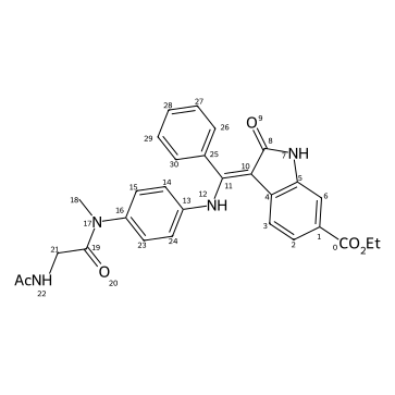 CCOC(=O)c1ccc2c(c1)NC(=O)/C2=C(/Nc1ccc(N(C)C(=O)CNC(C)=O)cc1)c1ccccc1